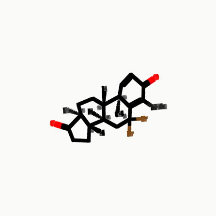 CC[C@]12CC[C@H]3[C@@H](CC(Br)(Br)C4=C(NC(C)=O)C(=O)C=C[C@@]43C)[C@@H]1CCC2=O